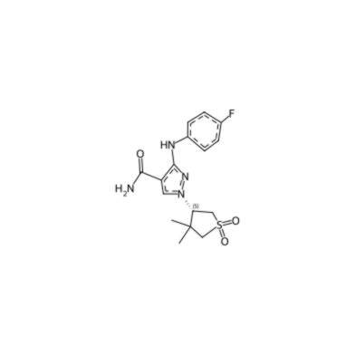 CC1(C)CS(=O)(=O)C[C@H]1n1cc(C(N)=O)c(Nc2ccc(F)cc2)n1